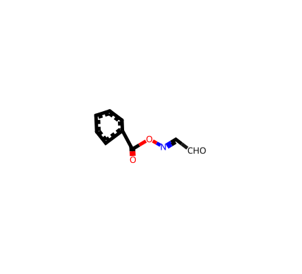 O=CC=NOC(=O)c1ccccc1